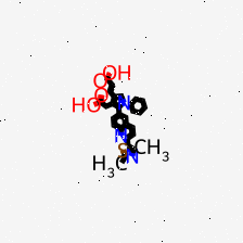 Cc1nc(C)c(-c2ccc3cc(-c4c(CC(=O)O)c(/C=C/C(=O)O)cn4C4CCCCC4)ccc3n2)s1